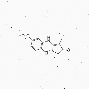 CC1=C(Nc2cc(C(=O)O)ccc2Cl)CCC1=O